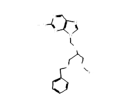 CC(C)OCC(COCc1ccccc1)OCn1cnc2cnc(N)nc21